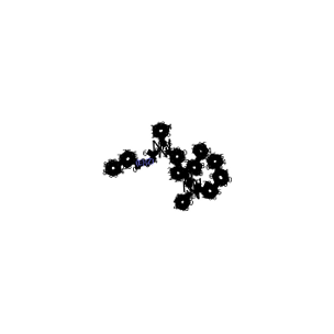 C/C(=C\C=C/C(C)c1nc(-c2ccccc2)nc(-c2cccc(-c3cccc4c3c3cc(-c5ccccc5)ccc3n4-c3nc(-c4ccccc4)nc(-c4cccc(-c5cccc(-c6ccccc6)c5)c4)n3)c2)n1)c1cccc(-c2ccccc2)c1